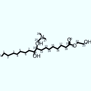 CCCCCCCCC(O)C(O)CCCCCCCC(=O)OCCO.CN(C)C